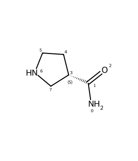 NC(=O)[C@H]1CCNC1